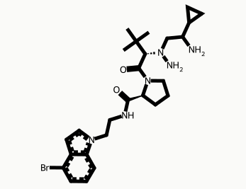 CC(C)(C)[C@@H](C(=O)N1CCC[C@H]1C(=O)NCCn1ccc2c(Br)cccc21)N(N)CC(N)C1CC1